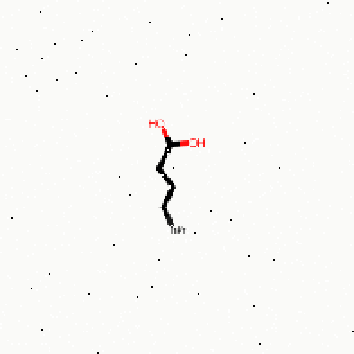 CCC[CH]CCC(O)O